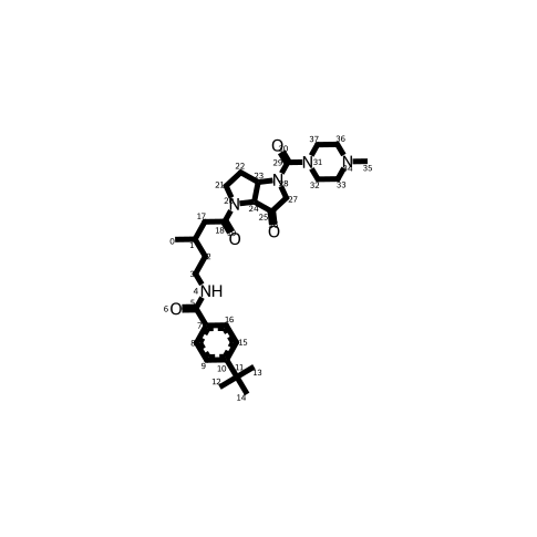 CC(CCNC(=O)c1ccc(C(C)(C)C)cc1)CC(=O)N1CCC2C1C(=O)CN2C(=O)N1CCN(C)CC1